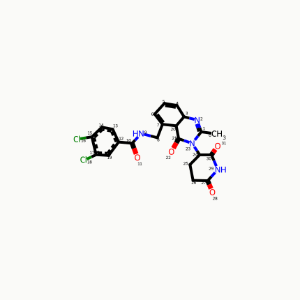 CC1=NC2C=CC=C(CNC(=O)c3ccc(Cl)c(Cl)c3)C2C(=O)N1C1CCC(=O)NC1=O